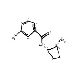 Cc1cncc(C(=O)N[C@H]2CC[C@H]2N)c1